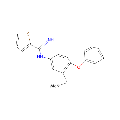 CNCc1cc(NC(=N)c2cccs2)ccc1Oc1ccccc1